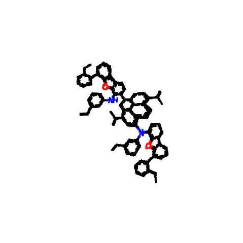 CCc1cccc(Nc2c(-c3cc4c(C(C)C)cc(N(c5cccc(CC)c5)c5cccc6c5oc5c(-c7ccccc7CC)cccc56)c5ccc6c(C(C)C)ccc3c6c45)ccc3c2oc2c(-c4ccccc4CC)cccc23)c1